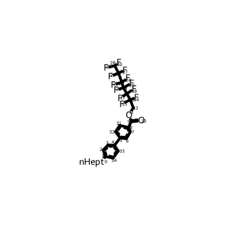 CCCCCCCc1ccc(-c2ccc(C(=O)OCC(F)(F)C(F)(F)C(F)(F)C(F)(F)C(F)(F)C(F)F)cc2)cc1